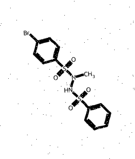 CN(NS(=O)(=O)c1ccccc1)S(=O)(=O)c1ccc(Br)cc1